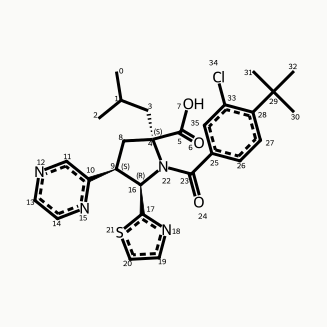 CC(C)C[C@@]1(C(=O)O)C[C@H](c2cnccn2)[C@H](c2nccs2)N1C(=O)c1ccc(C(C)(C)C)c(Cl)c1